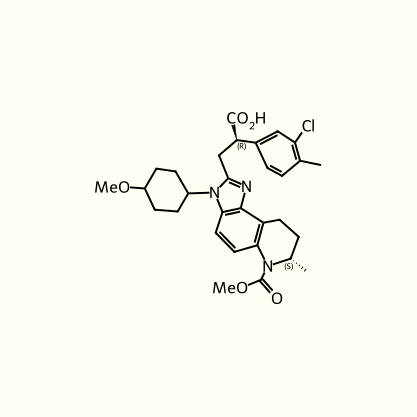 COC(=O)N1c2ccc3c(nc(C[C@@H](C(=O)O)c4ccc(C)c(Cl)c4)n3C3CCC(OC)CC3)c2CC[C@@H]1C